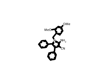 COc1ccc(Cn2c(N)c(C#N)c(-c3ccccc3)c2-c2ccccc2)c(OC)c1